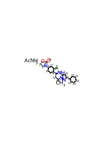 CC(=O)NC[C@H]1CN(c2ccc(C(=N)CC(C)n3ccc(-c4ccccc4)n3)c(F)c2)C(=O)O1